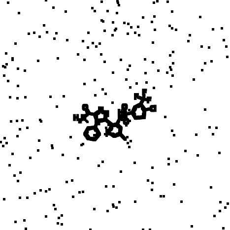 Cc1cnc(-c2nnc(C(N)=O)n2-c2ccccc2)c(NS(=O)(=O)c2ccc(Cl)c(C(F)(F)F)c2)c1